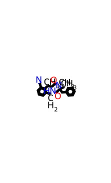 C=Cc1cccc(C#N)c1C(C)C1NC(=O)C(CC)(Cc2ccccc2)N(C)C1=O